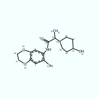 CC(=O)c1cc2c(cc1NC(=O)C(C)N1CCC(O)CC1)OCCO2